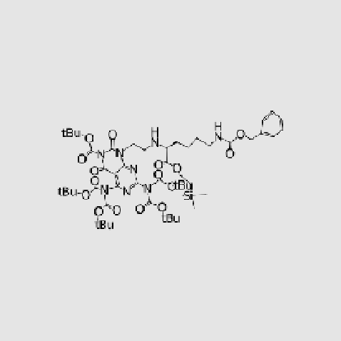 CC(C)(C)OC(=O)N(C(=O)OC(C)(C)C)c1nc(N(C(=O)OC(C)(C)C)C(=O)OC(C)(C)C)c2c(=O)n(C(=O)OC(C)(C)C)c(=O)n(CCN[C@@H](CCCCNC(=O)OCc3ccccc3)C(=O)OCC[Si](C)(C)C)c2n1